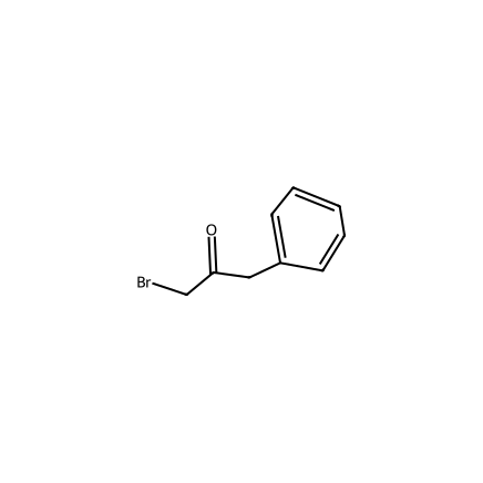 O=C(CBr)Cc1ccccc1